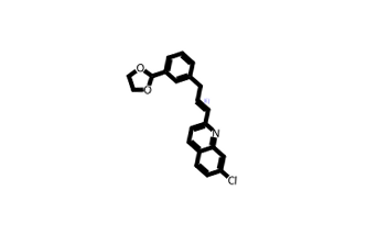 Clc1ccc2ccc(/C=C/Cc3cccc(C4OCCO4)c3)nc2c1